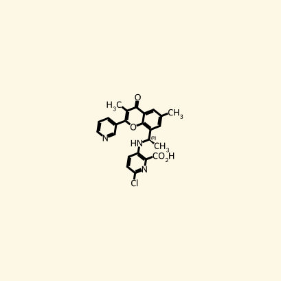 Cc1cc([C@@H](C)Nc2ccc(Cl)nc2C(=O)O)c2oc(-c3cccnc3)c(C)c(=O)c2c1